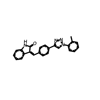 Cc1ccccc1-n1cc(-c2ccc(C=C3C(=O)Nc4ccccc43)cc2)nn1